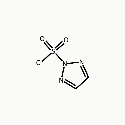 O=S(=O)(Cl)n1nccn1